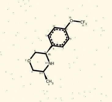 C[C@H]1COC[C@@H](c2ccc(OC(F)(F)F)cc2)N1